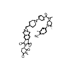 Cc1cc(N2C[C@@H](N(C)C(=O)c3ccc(N4CCC(CN5Cc6cc7c(cc6C5)C(=O)N(C5CCC(=O)N(C)C5=O)C7=O)CC4)cc3)C[C@@H]2C)ccc1C#N